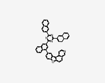 C1=CC2=CC(c3nc(-c4ccc5ccccc5c4)nc(-c4cc(-c5ccc6oc7ccc8cnccc8c7c6c5)c5ccccc5c4)n3)=CCC2C=C1